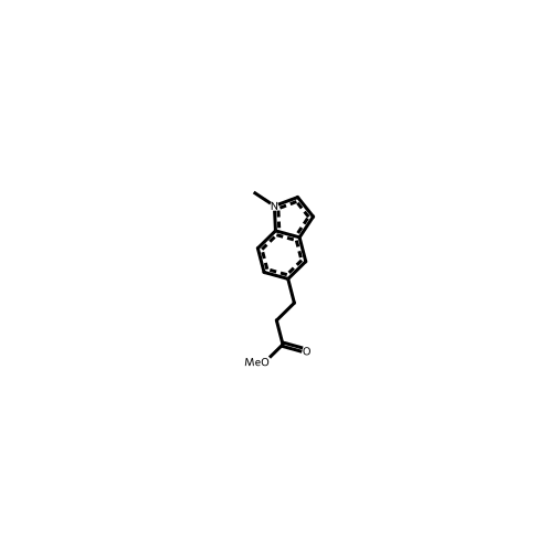 COC(=O)CCc1ccc2c(ccn2C)c1